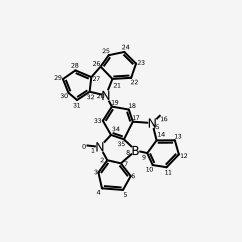 CN1c2ccccc2B2c3ccccc3N(C)c3cc(-n4c5ccccc5c5ccccc54)cc1c32